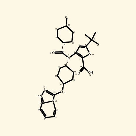 CC(C)(C)c1cc(N(C(=O)[C@H]2CC[C@H](C)CC2)[C@H]2CC[C@H](Sc3nnc4ccccn34)CC2)c(C(=O)O)s1